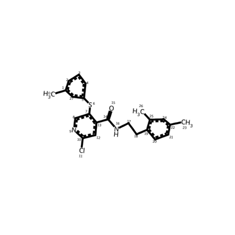 Cc1cccc(Sc2cnc(Cl)cc2C(=O)NCCc2ccc(C)cc2C)c1